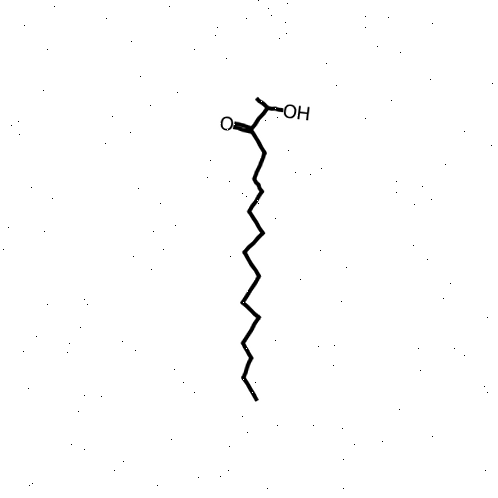 CCCCCCCCCCCCCC(=O)C(C)O